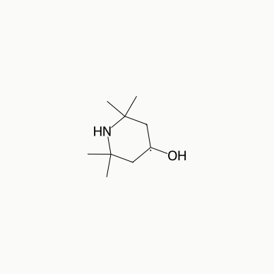 CC1(C)C[C](O)CC(C)(C)N1